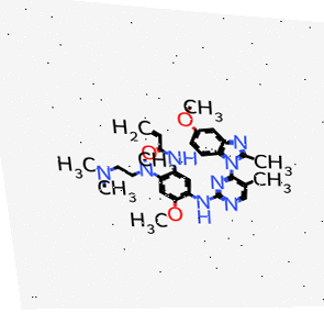 C=CC(=O)Nc1cc(Nc2ncc(C)c(-n3c(C)nc4cc(OC)ccc43)n2)c(OC)cc1N(C)CCN(C)C